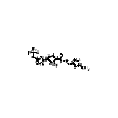 Cn1cnc(CSCC(=O)c2ccc(-c3noc(CC(F)(F)F)n3)cc2F)c1